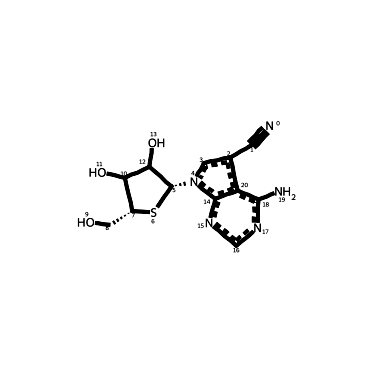 N#Cc1cn([C@@H]2S[C@H](CO)C(O)C2O)c2ncnc(N)c12